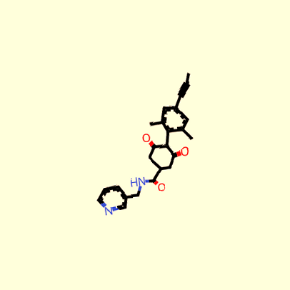 CC#Cc1cc(C)c(C2C(=O)CC(C(=O)NCc3cccnc3)CC2=O)c(C)c1